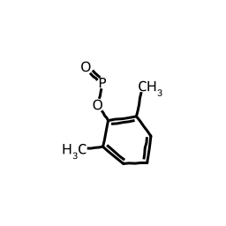 Cc1cccc(C)c1OP=O